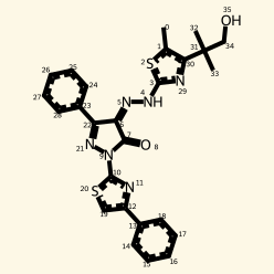 Cc1sc(N/N=C2\C(=O)N(c3nc(-c4ccccc4)cs3)N=C2c2ccccc2)nc1C(C)(C)CO